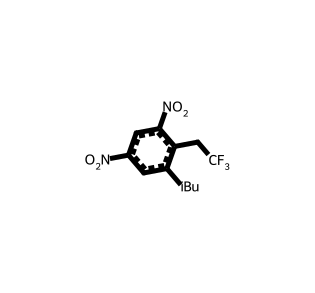 CCC(C)c1cc([N+](=O)[O-])cc([N+](=O)[O-])c1CC(F)(F)F